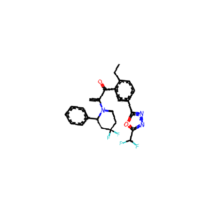 C=C(C(=O)c1cc(-c2nnc(C(F)F)o2)ccc1CC)N1CCC(F)(F)CC1c1ccccc1